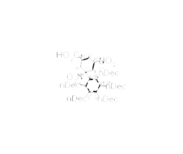 CCCCCCCCCCc1c(CCCCCCCCCC)c(CCCCCCCCCC)c(C2([N+](=O)[O-])C=C([N+](=O)[O-])C=C(C(=O)O)C2)c(CCCCCCCCCC)c1CCCCCCCCCC